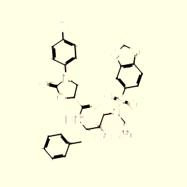 CC[C@H](C)CN(C[C@@H](O)[C@H](Cc1ccccc1)NC(=O)[C@@H]1CN(c2ccc(F)cc2)C(=O)O1)S(=O)(=O)c1ccc2c(c1)OCO2